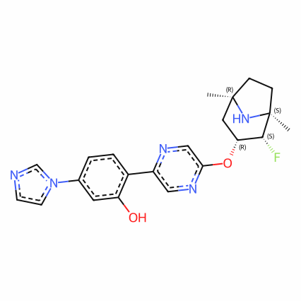 C[C@]12CC[C@](C)(N1)[C@H](F)[C@H](Oc1cnc(-c3ccc(-n4ccnc4)cc3O)cn1)C2